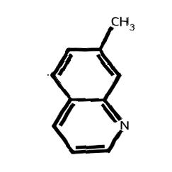 Cc1c[c]c2cccnc2c1